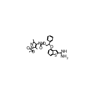 Cc1nn(S(C)(=O)=O)c(C)c1NC(=O)OCC(Oc1cccc2sc(C(=N)N)cc12)c1ccccc1